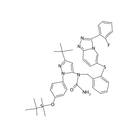 CC(C)(C)c1cc(N(Cc2ccccc2Sc2ccc3nnc(-c4ccccc4F)n3c2)C(N)=O)n(-c2ccc(O[Si](C)(C)C(C)(C)C)cc2)n1